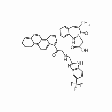 CC1=Cc2ccccc2NN(CC(=O)O)C1=O.O=C(CNCc1nc2cc(C(F)(F)F)ccc2[nH]1)c1cccc2c1=CCc1c3c(ccc1=2)=CCCC3